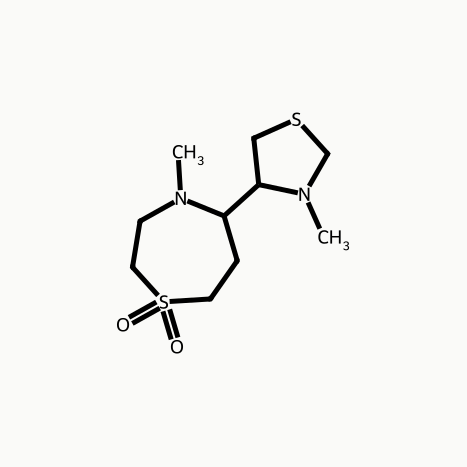 CN1CCS(=O)(=O)CCC1C1CSCN1C